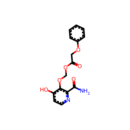 NC(=O)c1nccc(O)c1OCOC(=O)COc1ccccc1